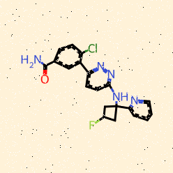 NC(=O)c1ccc(Cl)c(-c2ccc(NC3(c4ccccn4)CC(F)C3)nn2)c1